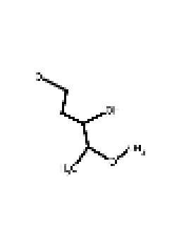 COC(C)C(O)CC[O]